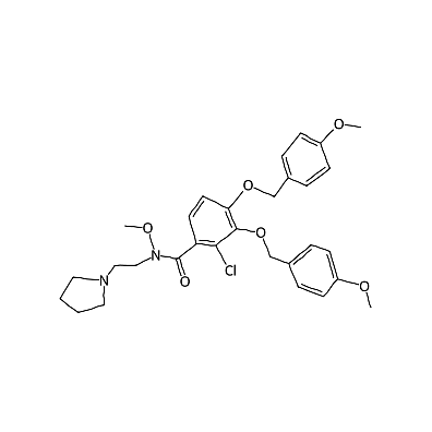 COc1ccc(COc2ccc(C(=O)N(CCN3CCCC3)OC)c(Cl)c2OCc2ccc(OC)cc2)cc1